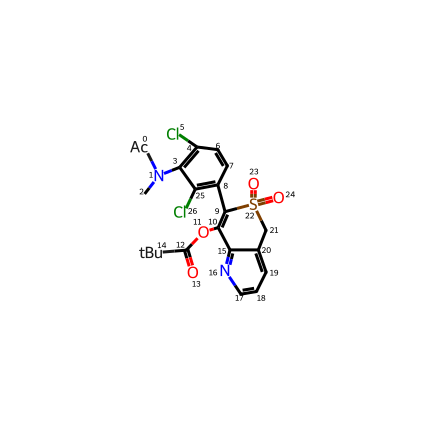 CC(=O)N(C)c1c(Cl)ccc(C2=C(OC(=O)C(C)(C)C)c3ncccc3CS2(=O)=O)c1Cl